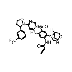 C=CC(=O)Nc1cc(Nc2cc(N3OCCC3c3cccc(C(F)(F)F)c3)ncn2)c(OC)cc1N1C[C@@H]2C[C@H]1CO2